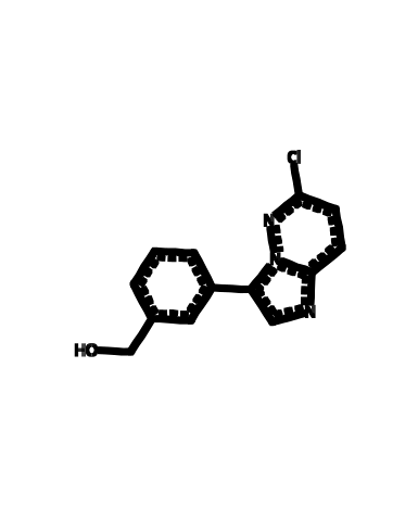 OCc1cccc(-c2cnc3ccc(Cl)nn23)c1